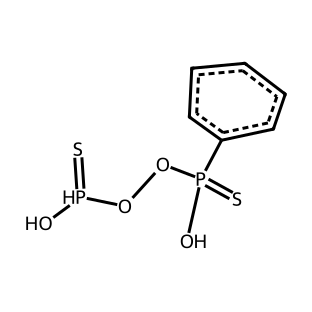 O[PH](=S)OOP(O)(=S)c1ccccc1